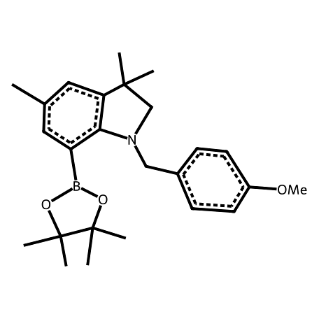 COc1ccc(CN2CC(C)(C)c3cc(C)cc(B4OC(C)(C)C(C)(C)O4)c32)cc1